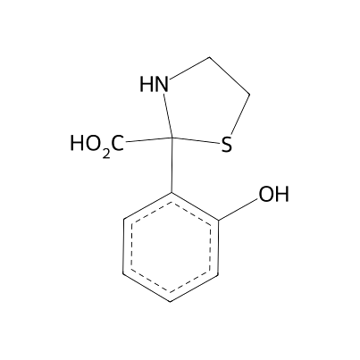 O=C(O)C1(c2ccccc2O)NCCS1